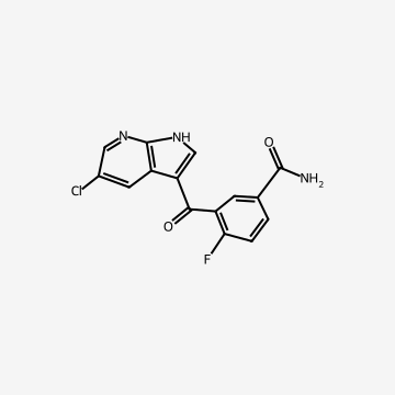 NC(=O)c1ccc(F)c(C(=O)c2c[nH]c3ncc(Cl)cc23)c1